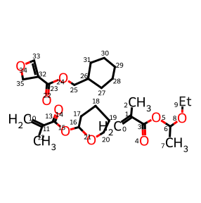 C=C(C)C(=O)OC(C)OCC.C=C(C)C(=O)OC1CCCCO1.O=C(OCC1CCCCC1)C1=COC1